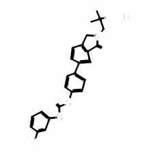 CC(C)(CN1Cc2ccc(-c3ccc(NC(=O)Nc4cccc(C(F)(F)F)c4)cc3)cc2C1=O)C(=O)O